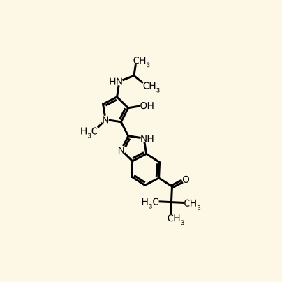 CC(C)Nc1cn(C)c(-c2nc3ccc(C(=O)C(C)(C)C)cc3[nH]2)c1O